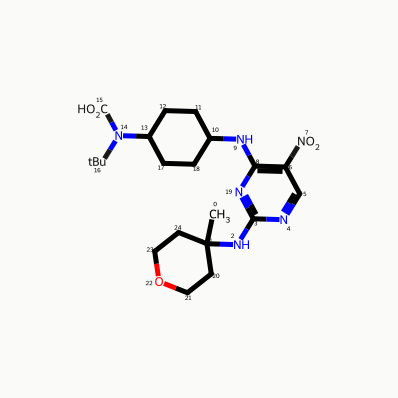 CC1(Nc2ncc([N+](=O)[O-])c(NC3CCC(N(C(=O)O)C(C)(C)C)CC3)n2)CCOCC1